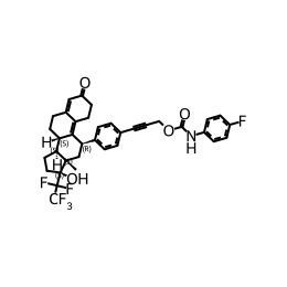 C[C@]12C[C@H](c3ccc(C#CCOC(=O)Nc4ccc(F)cc4)cc3)C3=C4CCC(=O)C=C4CC[C@H]3[C@@H]1CC[C@@]2(O)C(F)(F)C(F)(F)F